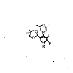 C[C@@H]1CN(c2c(C3OCC(C)(C)CO3)cc(Br)c(F)c2F)C[C@@H](C)O1